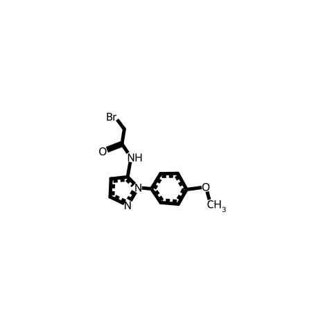 COc1ccc(-n2nccc2NC(=O)CBr)cc1